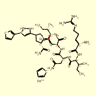 CC[C@H](C)[C@H](NC(=O)[C@@H](N)CCCN=C(N)N)C(=O)N[C@@H](CC(N)=O)C(=O)N[C@@H](CC(N)=O)C(=O)N[C@H](C(=O)N1CC(C2=CN(c3cc[cH-]c3)NN2)C[C@H]1C(N)=O)[C@@H](C)CC.[Fe+2].c1cc[cH-]c1